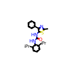 Cc1nc(-c2ccccc2)c(NC(=O)Nc2c(C(C)C)cccc2C(C)C)s1